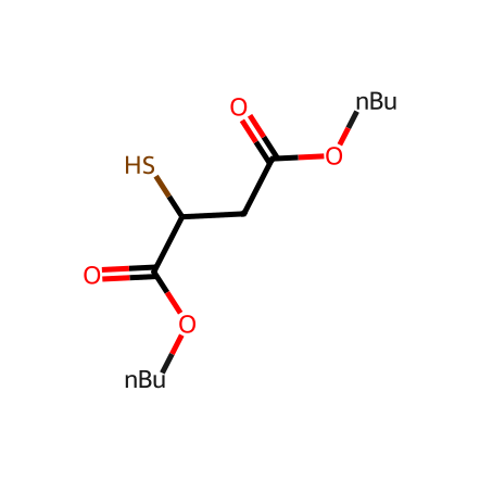 CCCCOC(=O)CC(S)C(=O)OCCCC